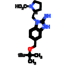 CC(C)(C)[Si](C)(C)OCc1ccc2c(c1)[nH]c(=N)n2C[C@H]1CCCN1C(=O)O